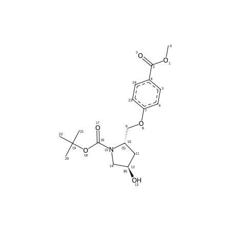 COC(=O)c1ccc(OC[C@@H]2C[C@@H](O)CN2C(=O)OC(C)(C)C)cc1